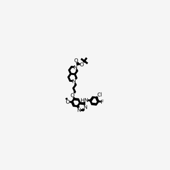 COc1cc2ncnc(Nc3ccc(F)c(Cl)c3)c2cc1OCCCN1CCC2CCN(C(=O)OC(C)(C)C)CC2C1